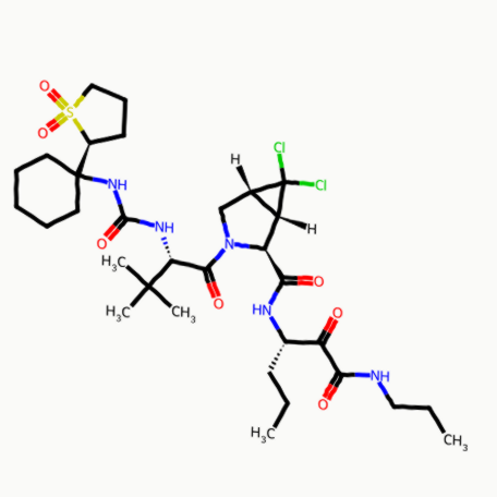 CCCNC(=O)C(=O)[C@H](CCC)NC(=O)[C@@H]1[C@@H]2[C@H](CN1C(=O)[C@@H](NC(=O)NC1([C@@H]3CCCS3(=O)=O)CCCCC1)C(C)(C)C)C2(Cl)Cl